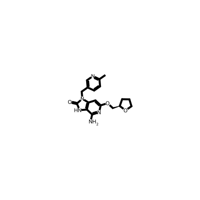 Cc1ccc(Cn2c(=O)[nH]c3c(N)nc(OC[C@H]4CCCO4)cc32)cn1